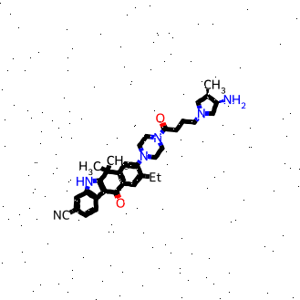 CCc1cc2c(cc1N1CCN(C(=O)CCCN3C[C@@H](C)[C@@H](N)C3)CC1)C(C)(C)c1[nH]c3cc(C#N)ccc3c1C2=O